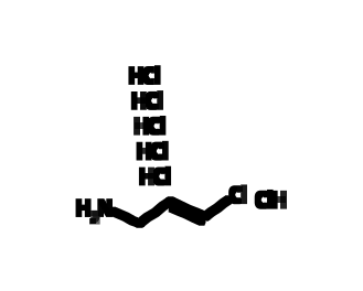 Cl.Cl.Cl.Cl.Cl.Cl.NCC=CCl